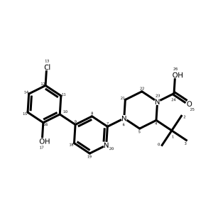 CC(C)(C)C1CN(c2cc(-c3cc(Cl)ccc3O)ccn2)CCN1C(=O)O